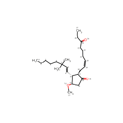 CCCCCC(C)(C)/C=C/[C@H]1[C@H](OC)CC(=O)[C@@H]1C/C=C\CCCC(=O)CC